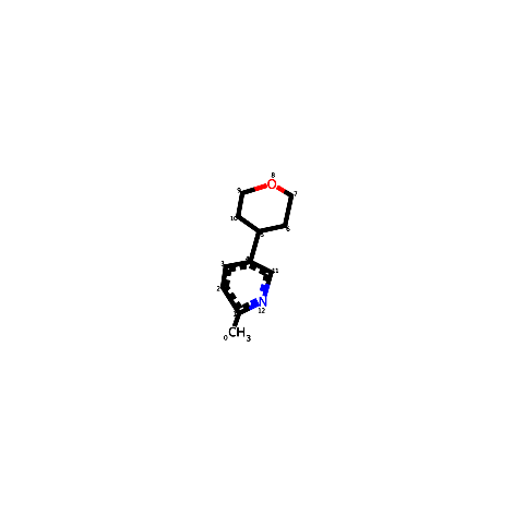 Cc1ccc(C2CCOCC2)cn1